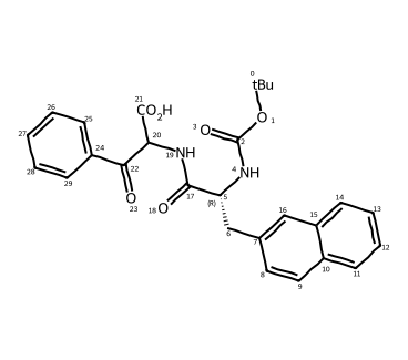 CC(C)(C)OC(=O)N[C@H](Cc1ccc2ccccc2c1)C(=O)NC(C(=O)O)C(=O)c1ccccc1